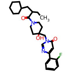 CCC(CC1CCCCC1)C(=O)N1CCC(O)(Cn2cnc(-c3ccccc3F)cc2=O)CC1